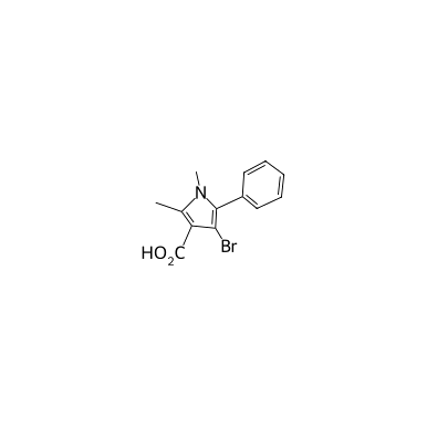 Cc1c(C(=O)O)c(Br)c(-c2ccccc2)n1C